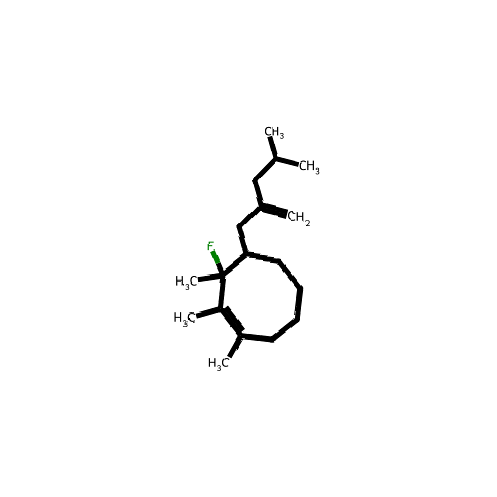 C=C(CC(C)C)CC1CCCC/C(C)=C(/C)C1(C)F